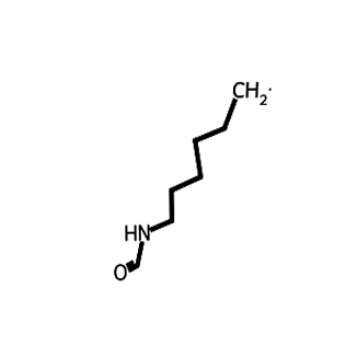 [CH2]CCCCCNC=O